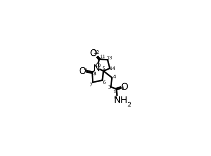 NC(=O)CCC12CCC(=O)N1C(=O)CC2